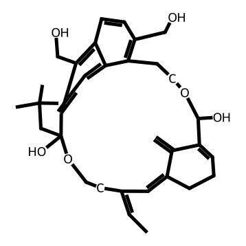 C=C1C2=CCC/C1=C/C(=C\C)CCOC(O)(CC(C)(C)C)c1ccc3c(c(CO)ccc3c1CO)CCOC2O